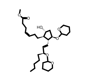 CCCCC[C@@H](/C=C/[C@@H]1[C@@H](CC/C=C\CCC(=O)OC)[C@H](O)C[C@H]1OC1CCCCO1)OC1CCCCO1